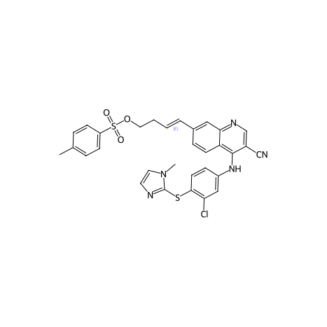 Cc1ccc(S(=O)(=O)OCC/C=C/c2ccc3c(Nc4ccc(Sc5nccn5C)c(Cl)c4)c(C#N)cnc3c2)cc1